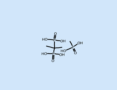 CC(C)(P(=O)(O)O)P(=O)(O)O.CP(=O)(O)O